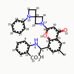 Cc1cc(C(C)Nc2ccccc2C(=O)O)c2oc(N3CC4(CCN4c4ccccc4)C3)cc(=O)c2c1